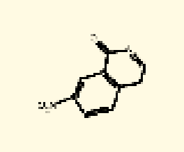 O=C1N=CCc2ccc([N+](=O)[O-])cc21